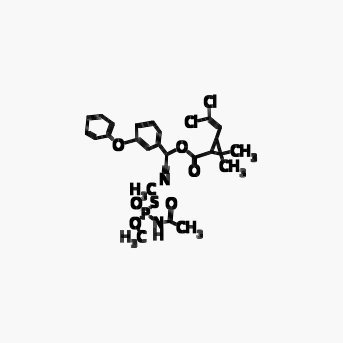 CC1(C)C(C=C(Cl)Cl)C1C(=O)OC(C#N)c1cccc(Oc2ccccc2)c1.COP(=O)(NC(C)=O)SC